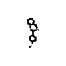 COc1ccc(-c2ncc3ccccc3n2)cc1